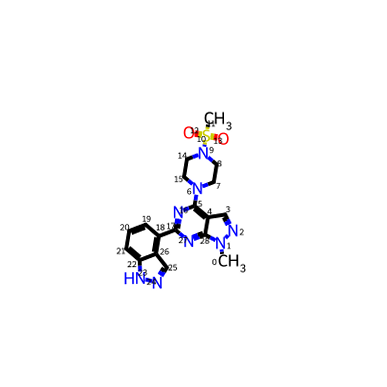 Cn1ncc2c(N3CCN(S(C)(=O)=O)CC3)nc(-c3cccc4[nH]ncc34)nc21